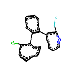 Fc1ncccc1-c1ccccc1-c1ccccc1Cl